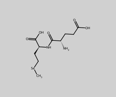 C[Se]CC[C@H](NC(=O)[C@@H](N)CCC(=O)O)C(=O)O